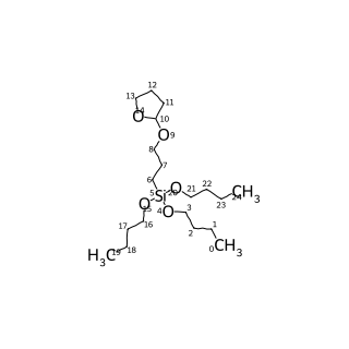 CCCCO[Si](CCCOC1CCCO1)(OCCCC)OCCCC